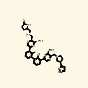 COc1nc(-c2cccc(-c3cccc(-c4cnc(CN5CCC(c6cc[nH]n6)C5)c(OC)n4)c3Cl)c2Cl)cnc1CNCC1CCC(=O)N1